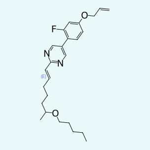 C=CCOc1ccc(-c2cnc(/C=C/CCCC(C)OCCCCC)nc2)c(F)c1